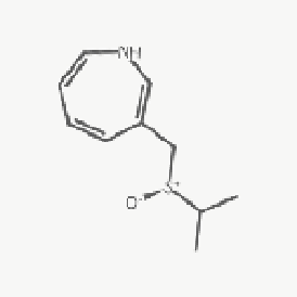 CC(C)[S@@+]([O-])CC1=CNC=CC=C1